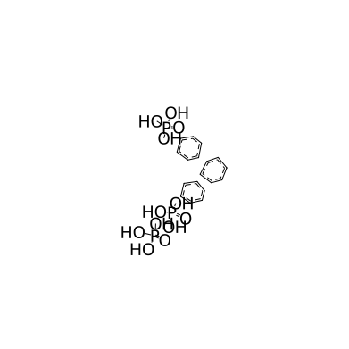 O=P(O)(O)O.O=P(O)(O)O.O=P(O)(O)O.c1ccccc1.c1ccccc1.c1ccccc1